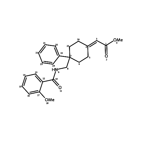 COC(=O)C=C1CCC(CNC(=O)c2ccccc2OC)(c2ccccc2)CC1